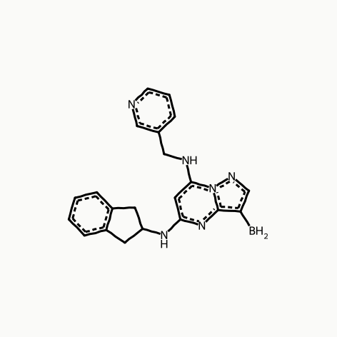 Bc1cnn2c(NCc3cccnc3)cc(NC3Cc4ccccc4C3)nc12